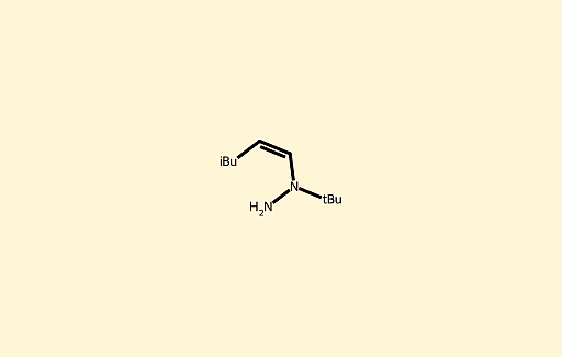 CCC(C)/C=C\N(N)C(C)(C)C